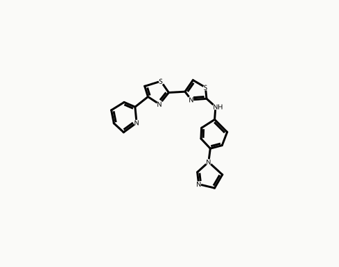 c1ccc(-c2csc(-c3csc(Nc4ccc(-n5ccnc5)cc4)n3)n2)nc1